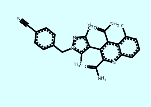 Cc1nn(Cc2ccc(C#N)cc2)c(C)c1-c1c(C(N)=O)nc2cccc(F)c2c1C(N)=O